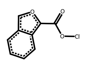 O=C(OCl)c1occ2ccccc12